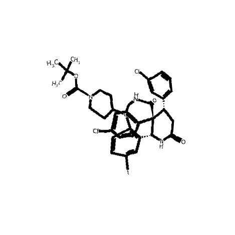 CC(C)(C)OC(=O)N1CCC(Oc2ccc(I)cc2[C@H]2NC(=O)C[C@@H](c3cccc(Cl)c3)[C@]23C(=O)Nc2cc(Cl)ccc23)CC1